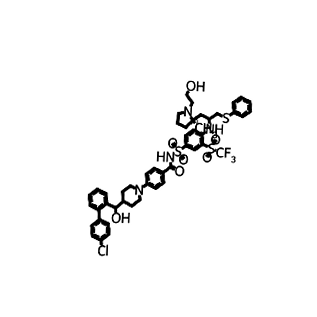 C[C@@]1(CC(CSc2ccccc2)Nc2ccc(S(=O)(=O)NC(=O)c3ccc(N4CCC(C(O)c5ccccc5-c5ccc(Cl)cc5)CC4)cc3)cc2S(=O)(=O)C(F)(F)F)CCCN1CCO